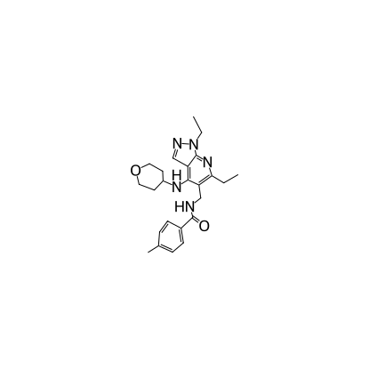 CCc1nc2c(cnn2CC)c(NC2CCOCC2)c1CNC(=O)c1ccc(C)cc1